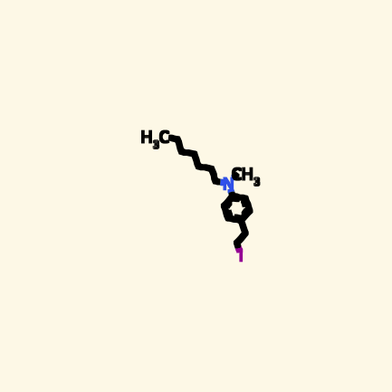 CCCCCCCN(C)c1ccc(CCI)cc1